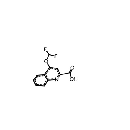 O=C(O)c1cc(OC(F)F)c2ccccc2n1